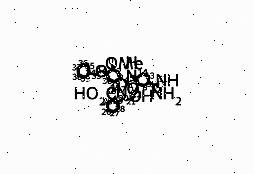 COc1cc([C@H](Nc2ccc(C(=N)N)cc2)C(=O)N(CC(=O)O)[C@H](CO)c2ccccc2)ccc1OCc1ccccc1